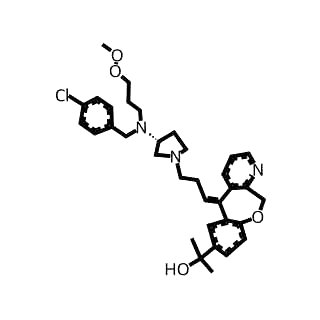 COOCCCN(Cc1ccc(Cl)cc1)[C@@H]1CCN(CC/C=C2/c3cc(C(C)(C)O)ccc3OCc3ncccc32)C1